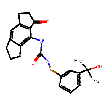 CC(C)(O)c1cccc(SNC(=O)Nc2c3c(cc4c2C(=O)CC4)CCC3)c1